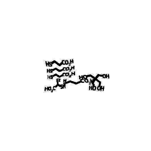 CCC(S)C(=O)O.O=C(O)CCS.O=C(O)CCS.O=C(O)CCS.O=C(O)CCS.OCC(CO)(CO)CO